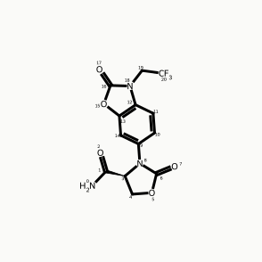 NC(=O)[C@@H]1COC(=O)N1c1ccc2c(c1)oc(=O)n2CC(F)(F)F